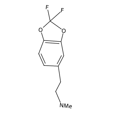 CNCCc1ccc2c(c1)OC(F)(F)O2